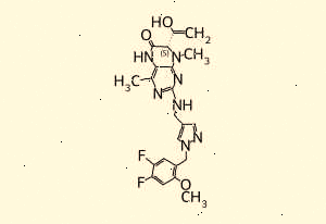 C=C(O)[C@H]1C(=O)Nc2c(C)nc(NCc3cnn(Cc4cc(F)c(F)cc4OC)c3)nc2N1C